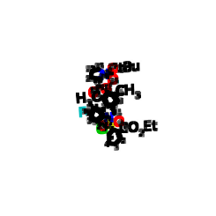 CCOC(=O)C1=CCCCC1S(=O)(=O)N(Cc1cc(C)c(OC(=O)[C@@H]2CCCN2C(=O)OC(C)(C)C)c(C)c1)c1ccc(F)cc1Cl